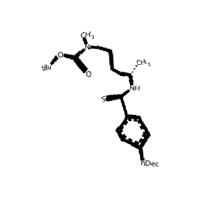 CCCCCCCCCCc1ccc(C(=S)N[C@@H](C)CCN(C)C(=O)OC(C)(C)C)cc1